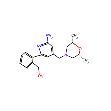 C[C@@H]1CN(Cc2cc(N)nc(-c3ccccc3CO)c2)C[C@H](C)O1